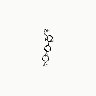 CC(=O)N1CCN(c2ccc(-c3nccc(CO)n3)cc2)CC1